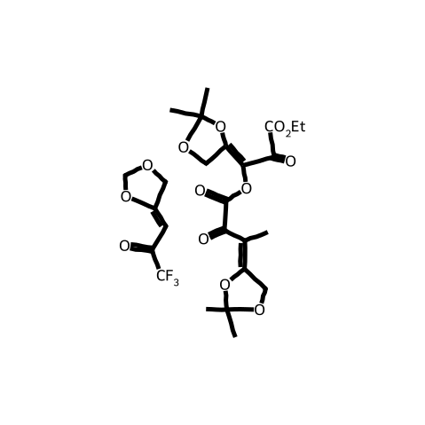 CCOC(=O)C(=O)C(OC(=O)C(=O)C(C)=C1COC(C)(C)O1)=C1COC(C)(C)O1.O=C(C=C1COCO1)C(F)(F)F